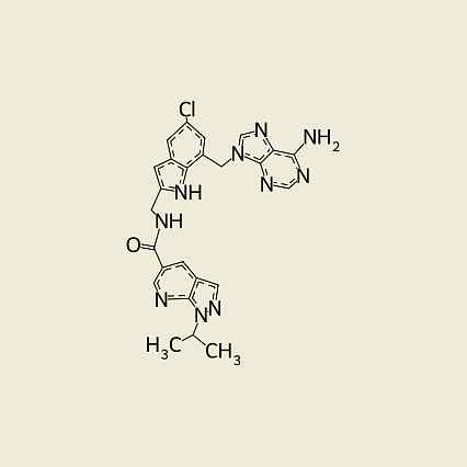 CC(C)n1ncc2cc(C(=O)NCc3cc4cc(Cl)cc(Cn5cnc6c(N)ncnc65)c4[nH]3)cnc21